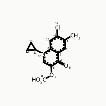 Cc1cc2c(=O)c(OC(=O)O)cn(C3CC3)c2cc1Cl